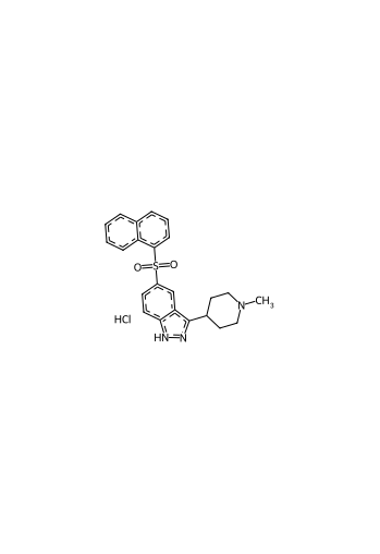 CN1CCC(c2n[nH]c3ccc(S(=O)(=O)c4cccc5ccccc45)cc23)CC1.Cl